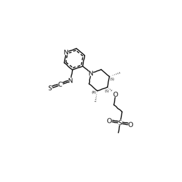 C[C@@H]1CN(c2ccncc2N=C=S)C[C@H](C)[C@@H]1OCCS(C)(=O)=O